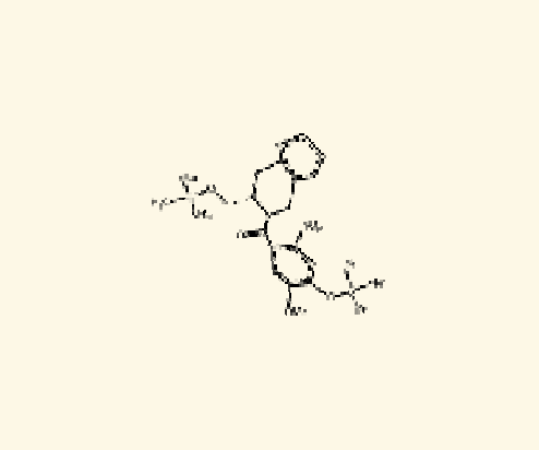 COc1cc(C(=O)N2Cc3ccccc3C[C@H]2CO[Si](C)(C)C(C)(C)C)c([N+](=O)[O-])cc1O[Si](C(C)C)(C(C)C)C(C)C